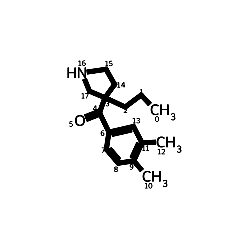 CCCC1(C(=O)c2ccc(C)c(C)c2)CCNC1